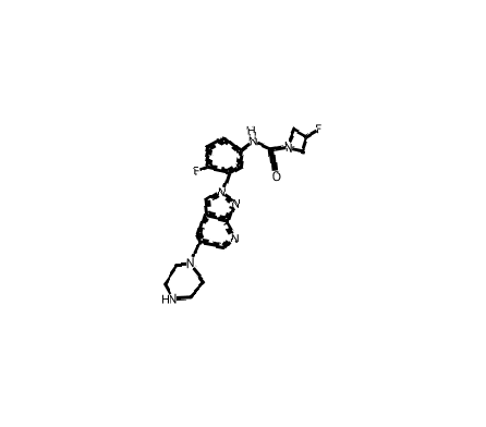 O=C(Nc1ccc(F)c(-n2cc3cc(N4CCNCC4)cnc3n2)c1)N1CC(F)C1